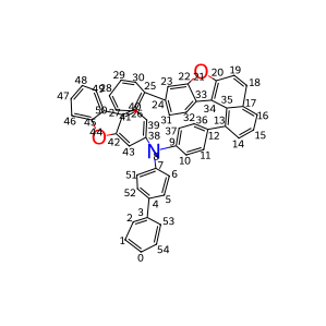 c1ccc(-c2ccc(N(c3ccc(-c4cccc5ccc6oc7cc(-c8ccccc8)ccc7c6c45)cc3)c3ccc4c(c3)oc3ccccc34)cc2)cc1